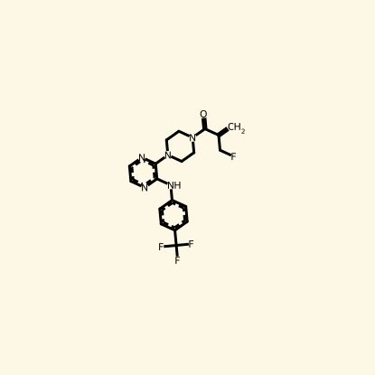 C=C(CF)C(=O)N1CCN(c2nccnc2Nc2ccc(C(F)(F)F)cc2)CC1